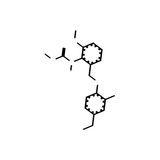 CCc1ccc(OCc2cccc(OC)c2N(O)C(=S)OC)c(C)c1